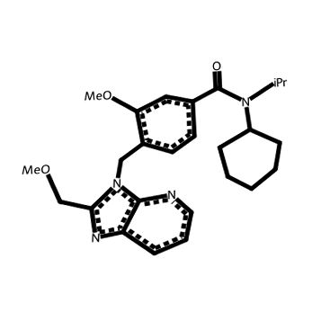 COCc1nc2cccnc2n1Cc1ccc(C(=O)N(C(C)C)C2CCCCC2)cc1OC